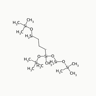 C[Si](C)(C)O[SiH2]CC[CH][Si](C)(O[SiH2]O[Si](C)(C)C)O[Si](C)(C)C